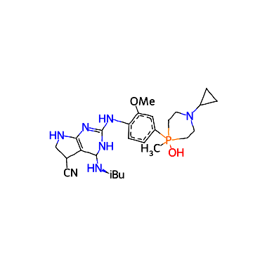 CC[C@H](C)NC1NC(Nc2ccc(P3(C)(O)CCN(C4CC4)CC3)cc2OC)=NC2=C1C(C#N)CN2